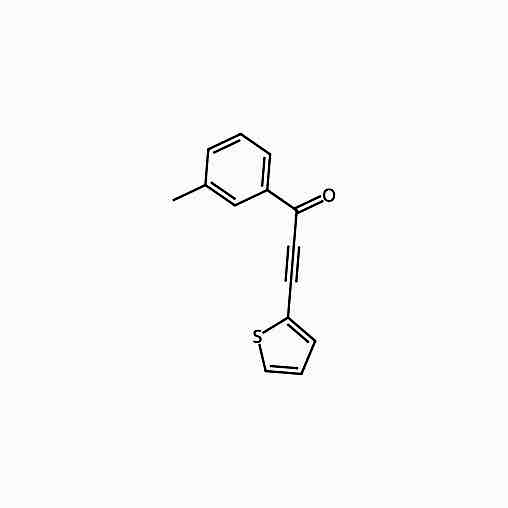 Cc1cccc(C(=O)C#Cc2cccs2)c1